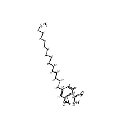 CCCCCCCCCCCCCCCCc1ccc(C(=O)O)c(N)c1